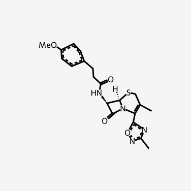 COc1ccc(CCC(=O)N[C@@H]2C(=O)N3C(c4nc(C)no4)=C(C)CS[C@H]23)cc1